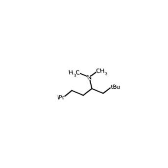 CC(C)CCC(CC(C)(C)C)N(C)C